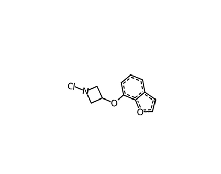 ClN1CC(Oc2cccc3ccoc23)C1